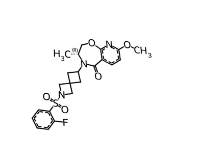 COc1ccc2c(n1)OC[C@@H](C)N(C1CC3(C1)CN(S(=O)(=O)c1ccccc1F)C3)C2=O